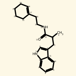 C[C](Cc1c[nH]c2ccccc12)C(=O)NCCC1=CCCCC1